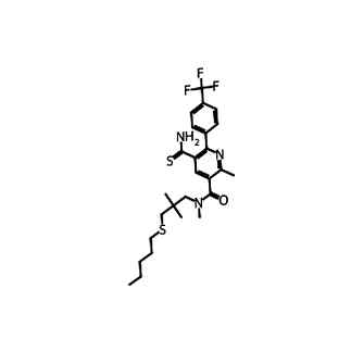 CCCCCSCC(C)(C)CN(C)C(=O)c1cc(C(N)=S)c(-c2ccc(C(F)(F)F)cc2)nc1C